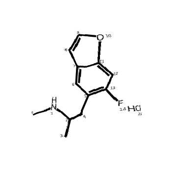 CNC(C)Cc1cc2ccoc2cc1F.Cl